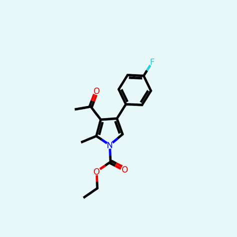 CCOC(=O)n1cc(-c2ccc(F)cc2)c(C(C)=O)c1C